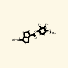 CCCCCC1CCC2C(C(=O)Oc3ccc(OCCCC)c(F)c3F)CCC12